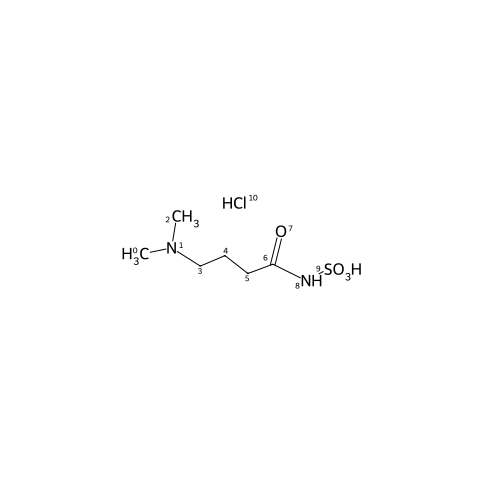 CN(C)CCCC(=O)NS(=O)(=O)O.Cl